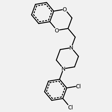 Clc1cccc(N2CCN(CC3COc4ccccc4O3)CC2)c1Cl